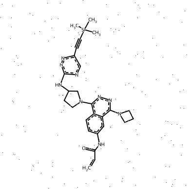 C=CC(=O)Nc1ccc2c(N3CCC(Nc4ncc(C#C[Si](C)(C)C)nn4)C3)nnc(N3CCC3)c2c1